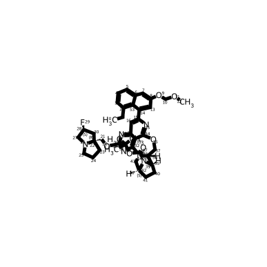 CCc1cccc2cc(OCOC)cc(-c3cc4nc(OC[C@]56CCCN5C[C@@H](F)C6)nc5c4c(n3)OC[C@@H]3[C@H]4CC[C@@H](CN53)N4C(=O)OC(C)(C)C)c12